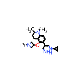 CC(C)N1CC(Oc2c(/C(C=N)=C/NC3CC3)ccc3c2CCC(C)N3C)C1